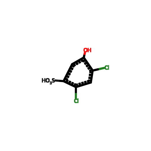 O=S(=O)(O)c1cc(O)c(Cl)cc1Cl